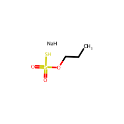 CCCOS(=O)(=O)S.[NaH]